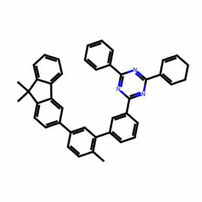 Cc1ccc(-c2ccc3c(c2)-c2ccccc2C3(C)C)cc1-c1cccc(-c2nc(C3=CCCC=C3)nc(-c3ccccc3)n2)c1